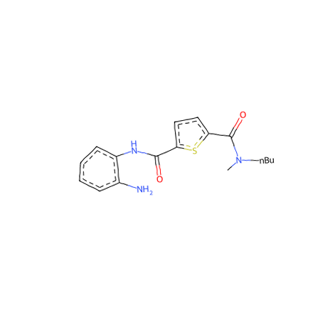 CCCCN(C)C(=O)c1ccc(C(=O)Nc2ccccc2N)s1